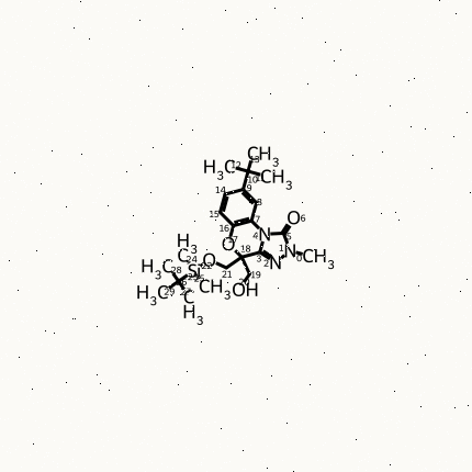 Cn1nc2n(c1=O)-c1cc(C(C)(C)C)ccc1OC2(CO)CO[Si](C)(C)C(C)(C)C